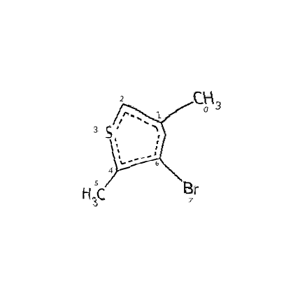 Cc1csc(C)c1Br